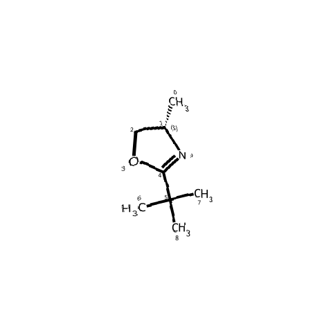 C[C@H]1COC(C(C)(C)C)=N1